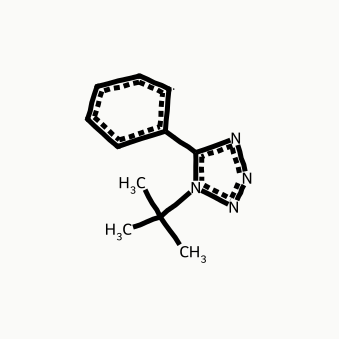 CC(C)(C)n1nnnc1-c1[c]cccc1